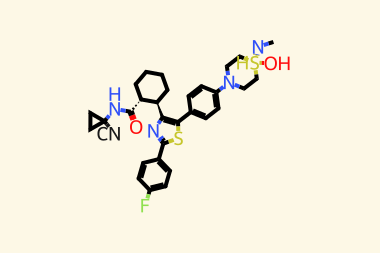 CN=[SH]1(O)CCN(c2ccc(-c3sc(-c4ccc(F)cc4)nc3[C@@H]3CCCC[C@H]3C(=O)NC3(C#N)CC3)cc2)CC1